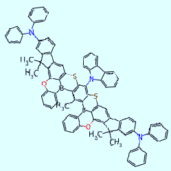 Cc1c2c(c(-n3c4ccccc4c4ccccc43)c3c1B1c4ccccc4Oc4c1c(cc1c4C(C)(C)c4cc(N(c5ccccc5)c5ccccc5)ccc4-1)S3)Sc1cc3c(c4c1B2c1ccccc1O4)C(C)(C)c1cc(N(c2ccccc2)c2ccccc2)ccc1-3